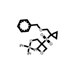 CC(C)[Si](OCC1(S(=O)(=O)C2(COCc3ccccc3)CC2)COC1)(C(C)C)C(C)C